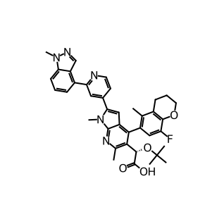 Cc1nc2c(cc(-c3ccnc(-c4cccc5c4cnn5C)c3)n2C)c(-c2cc(F)c3c(c2C)CCCO3)c1[C@H](OC(C)(C)C)C(=O)O